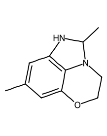 Cc1cc2c3c(c1)OCCN3C(C)N2